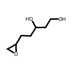 OCCC(O)CCC1CO1